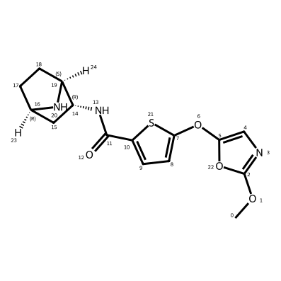 COc1ncc(Oc2ccc(C(=O)N[C@@H]3C[C@H]4CC[C@@H]3N4)s2)o1